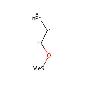 [CH2]CCCCOSC